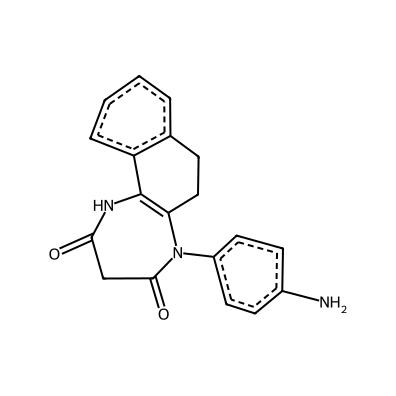 Nc1ccc(N2C(=O)CC(=O)NC3=C2CCc2ccccc23)cc1